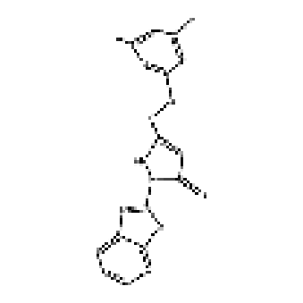 Cc1cc(C)nc(SCc2cc(=O)n(-c3nc4ccccc4s3)[nH]2)n1